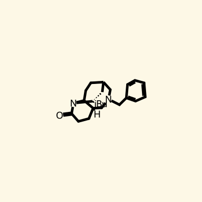 CC[C@@H](C)[C@H]1CC2CCC3[C@H](CCC(=O)N31)CN(Cc1ccccc1)C2